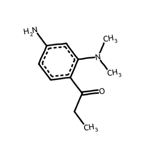 CCC(=O)c1ccc(N)cc1N(C)C